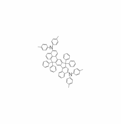 Cc1ccc(N(c2ccc(C)cc2)c2cc3c(c4ccccc24)-c2cc4c(cc2C3(c2ccccc2)c2ccccc2)-c2ccc(N(c3ccc(C)cc3)c3ccc(C)cc3)c3cccc(c23)C4(c2ccccc2)c2ccccc2)cc1